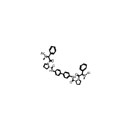 CC(=O)N(C)C(C(=O)N1CCC[C@H]1C(=O)Nc1ccc(-c2ccc(NC(=O)[C@@H]3CCCN3C(=O)C(c3ccccc3)N(C)C(C)=O)cc2)cc1)c1ccccc1